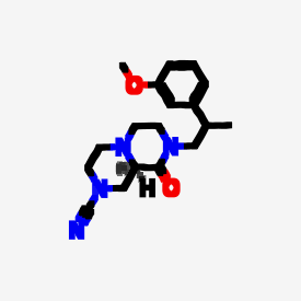 COc1cccc(C(C)CN2CCN3CCN(C#N)C[C@@H]3C2=O)c1